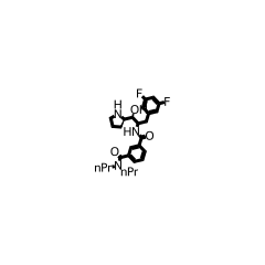 CCCN(CCC)C(=O)c1cccc(C(=O)NC(Cc2cc(F)cc(F)c2)[C@H](O)[C@H]2CCCN2)c1